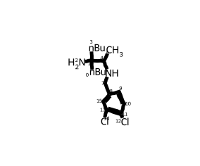 CCCCC(N)(CCCC)C(C)NCc1ccc(Cl)c(Cl)c1